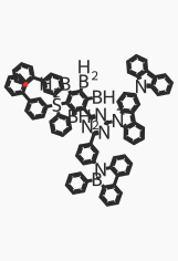 Bc1c(B)c(-c2nc(-c3cccc(N4B(c5ccccc5)c5ccccc5-c5ccccc54)c3)nc(-n3c4ccccc4c4cc(-n5c6ccccc6c6ccccc65)ccc43)n2)c(B)c(S(c2ccccc2)(c2cccc(-c3ccccc3)c2)c2cccc(-c3ccccc3)c2)c1B